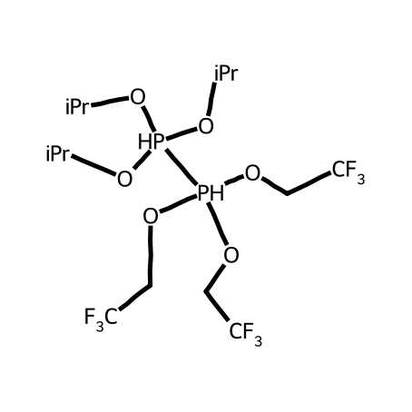 CC(C)O[PH](OC(C)C)(OC(C)C)[PH](OCC(F)(F)F)(OCC(F)(F)F)OCC(F)(F)F